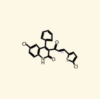 O=C(/C=C/c1ccc(Cl)s1)c1c(-c2ccccc2)c2cc(Cl)ccc2[nH]c1=O